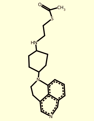 CC(=O)SCCNC1CCC(N2CCc3cncc4cccc2c34)CC1